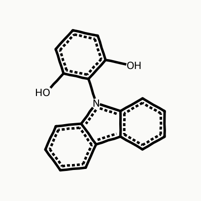 Oc1cccc(O)c1-n1c2ccccc2c2ccccc21